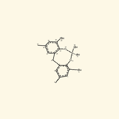 Cc1cc2c(c(C(C)(C)C)c1)O[Si](C(C)(C)C)(C(C)(C)C)Oc1c(cc(C)cc1C(C)(C)C)C2